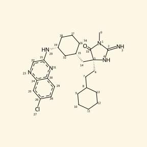 CN1C(=N)N[C@@](CCC2CCCCC2)(C[C@H]2CCC[C@@H](Nc3cnc4cc(Cl)ccc4n3)C2)C1=O